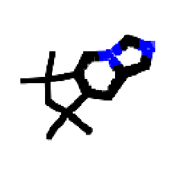 CC1(C)CC(C)(C)c2cn3cncc3cc21